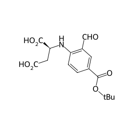 CC(C)(C)OC(=O)c1ccc(N[C@@H](CC(=O)O)C(=O)O)c(C=O)c1